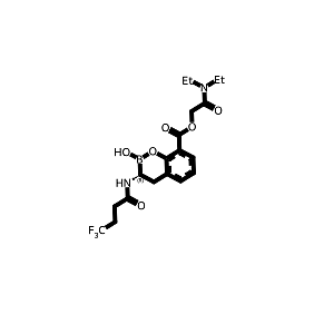 CCN(CC)C(=O)COC(=O)c1cccc2c1OB(O)[C@@H](NC(=O)CCC(F)(F)F)C2